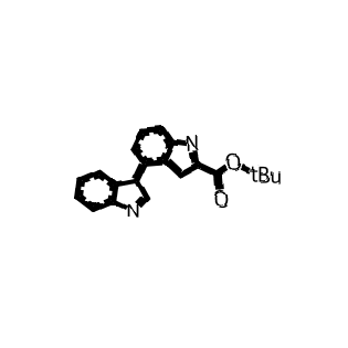 CC(C)(C)OC(=O)C1=Nc2cccc(=C3C=Nc4ccccc43)c2=C1